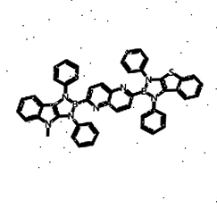 Cn1c2c(c3ccccc31)N(c1ccccc1)B(c1ccc3nc(B4N(c5ccccc5)c5sc6ccccc6c5N4c4ccccc4)ccc3n1)N2c1ccccc1